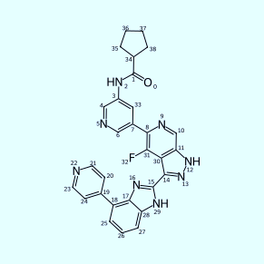 O=C(Nc1cncc(-c2ncc3[nH]nc(-c4nc5c(-c6ccncc6)cccc5[nH]4)c3c2F)c1)C1CCCC1